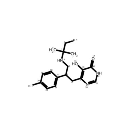 CC(C)(CF)NCC(Cc1nc[nH]c(=O)c1O)c1ccc(I)cc1